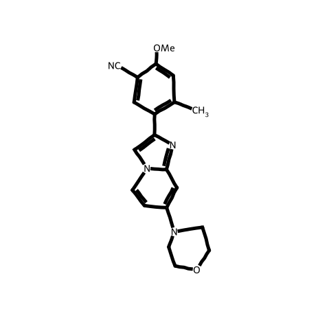 COc1cc(C)c(-c2cn3ccc(N4CCOCC4)cc3n2)cc1C#N